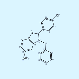 Clc1ccc(C2Oc3ccc([AsH2])cc3N2Cc2ccccc2)cc1